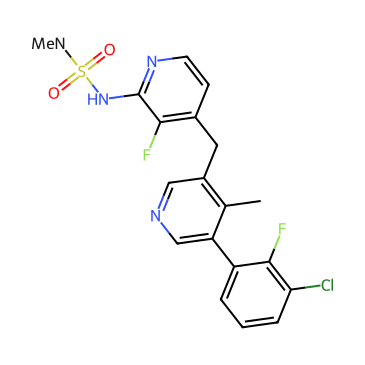 CNS(=O)(=O)Nc1nccc(Cc2cncc(-c3cccc(Cl)c3F)c2C)c1F